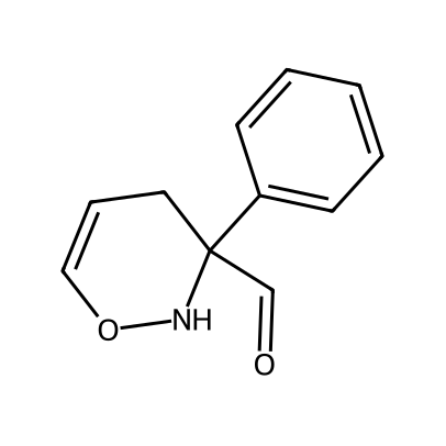 O=CC1(c2ccccc2)CC=CON1